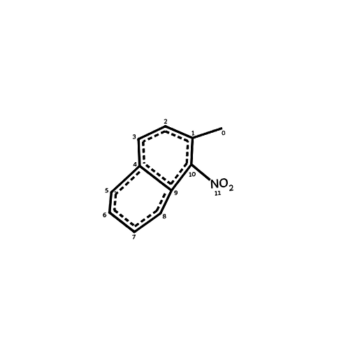 Cc1ccc2[c]cccc2c1[N+](=O)[O-]